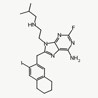 CC(C)CNCCn1c(Cc2cc3c(cc2I)CCCC3)nc2c(N)nc(F)nc21